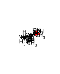 [2H]C1CC(C)(C)CCC1([2H])c1cc(C2=CC3(C)C([2H])C([2H])C(C)(C2)N3C(=O)O)ccc1NC(=O)c1ncc(C#N)[nH]1